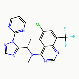 C[C@@H](c1ncnn1-c1ncccn1)N(C)c1ncnc2c(C(F)(F)F)cc(Cl)cc12